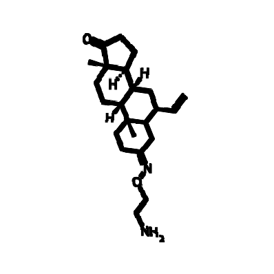 C=CC1C[C@@H]2[C@@H](CC[C@]3(C)C(=O)CC[C@@H]23)[C@@]2(C)CCC(=NOCCN)CC12